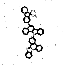 CC1(C)C2=CC(c3cc4c5ccccc5n(C5=Cc6c(c7nc8ccccc8n7c7ccccc67)CC5)c4c4ccccc34)CC=C2C2=C1CCC=C2